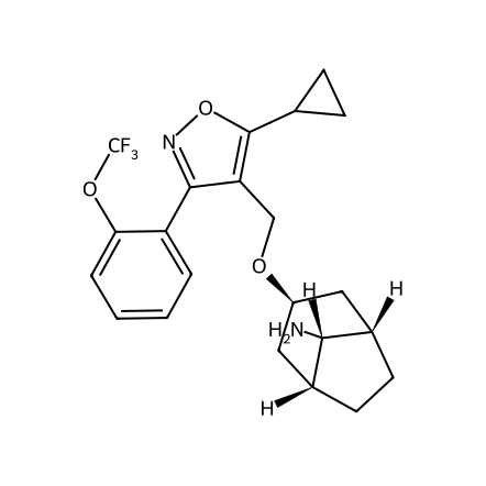 N[C@H]1[C@@H]2CC[C@H]1C[C@H](OCc1c(-c3ccccc3OC(F)(F)F)noc1C1CC1)C2